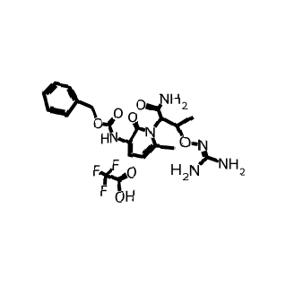 Cc1ccc(NC(=O)OCc2ccccc2)c(=O)n1C(C(N)=O)C(C)ON=C(N)N.O=C(O)C(F)(F)F